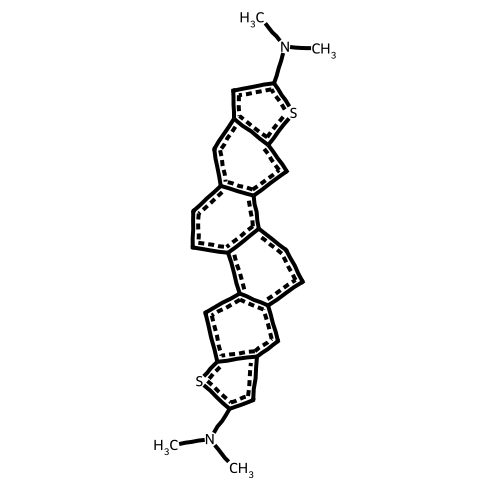 CN(C)c1cc2cc3ccc4c5cc6sc(N(C)C)cc6cc5ccc4c3cc2s1